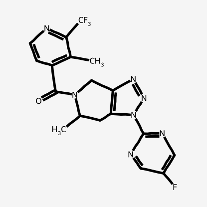 Cc1c(C(=O)N2Cc3nnn(-c4ncc(F)cn4)c3CC2C)ccnc1C(F)(F)F